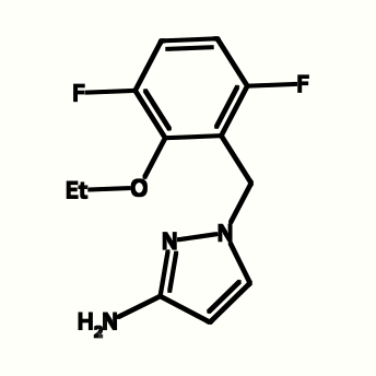 CCOc1c(F)ccc(F)c1Cn1ccc(N)n1